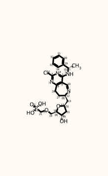 C[C@H](Nc1nc(Cl)nc2c1C=N[C@@H](C[C@H]1C[C@H](O)[C@@H](COCP(=O)(O)O)O1)CC2)c1ccccc1